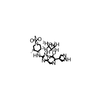 [2H]C([2H])([2H])C([2H])(Oc1c(-c2cn[nH]c2)ncc2nc(N[C@H]3CCN(S(C)(=O)=O)C[C@H]3C)nn12)C([2H])([2H])[2H]